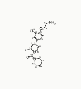 Cc1cc(-c2ccc(OCCN)c(Cl)c2)ccc1C(=O)N1CCOCC1